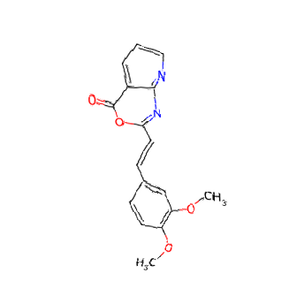 COc1ccc(C=Cc2nc3ncccc3c(=O)o2)cc1OC